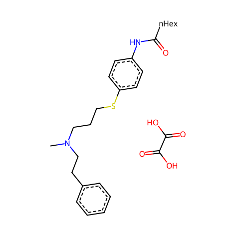 CCCCCCC(=O)Nc1ccc(SCCCN(C)CCc2ccccc2)cc1.O=C(O)C(=O)O